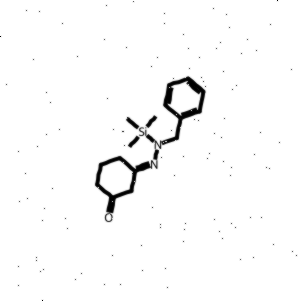 C[Si](C)(C)N(Cc1ccccc1)N=C1CCCC(=O)C1